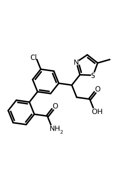 Cc1cnc(C(CC(=O)O)c2cc(Cl)cc(-c3ccccc3C(N)=O)c2)s1